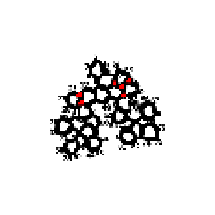 c1ccc(-c2ccccc2-c2c3cccc(-c4cccc5c4N(c4ccccc4)c4ccccc4C5(c4ccccc4)c4ccccc4)c3cc3c(-c4cccc5c4N(c4ccccc4)c4ccccc4C5(c4ccccc4)c4ccccc4)cccc23)cc1